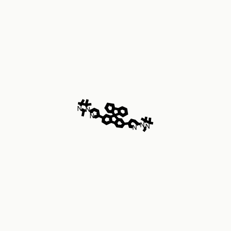 CC1=NC(C)(C)C(C)(C)N1c1ccc(-c2ccc3c(c2)C2(c4ccccc4-c4ccccc42)c2cc(-c4ccc(N5C(C)=NC(C)(C)C5(C)C)nc4)ccc2-3)cn1